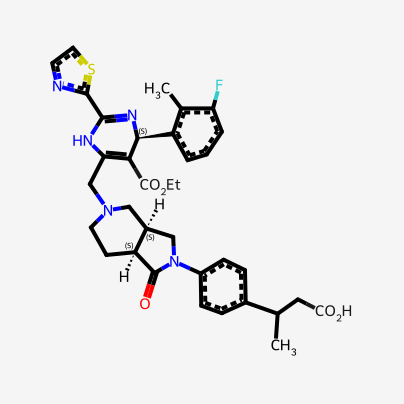 CCOC(=O)C1=C(CN2CC[C@@H]3C(=O)N(c4ccc(C(C)CC(=O)O)cc4)C[C@@H]3C2)NC(c2nccs2)=N[C@H]1c1cccc(F)c1C